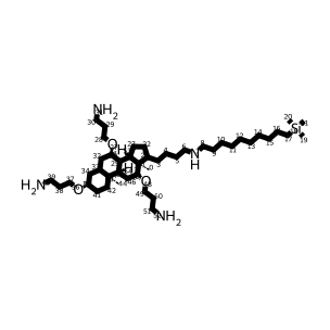 C[C@@]12C(CCCCNCCCCCCCCCC[Si](C)(C)C)CC[C@H]1C1[C@H](OCCCN)CC3C[C@H](OCCCN)CC[C@]3(C)[C@H]1C[C@@H]2OCCCN